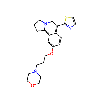 c1csc(C2=c3ccc(OCCCN4CCOCC4)cc3=C3CCCN3C2)n1